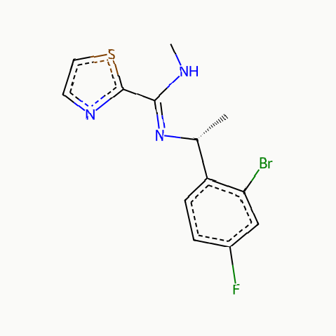 CN/C(=N\[C@H](C)c1ccc(F)cc1Br)c1nccs1